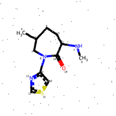 CNC1CCC(C)CN(c2cscn2)C1=O